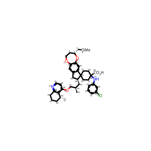 COC[C@H]1CCOc2cc3c(cc2O1)C1(CCC(Nc2cccc(Cl)c2)(C(=O)O)CC1)[C@@H](C[C@@H](C)COc1ccnc2c1[C@H](C)CCC2)C3